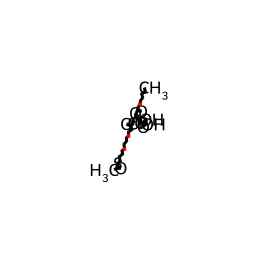 CCCCCCCC(=O)O[C@@H](COC(=O)CCCCCCCCCCCSC(C)=O)COP(=O)(O)O